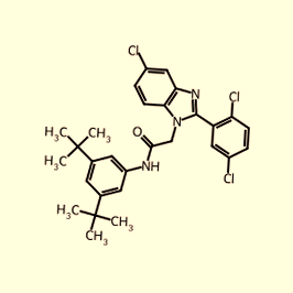 CC(C)(C)c1cc(NC(=O)Cn2c(-c3cc(Cl)ccc3Cl)nc3cc(Cl)ccc32)cc(C(C)(C)C)c1